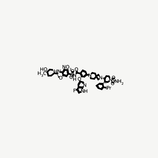 CC(C)c1ccccc1[C@H]1CN(S(N)(=O)=O)CC[C@H]1N1CC2(CCN(c3ccc(C(=O)NS(=O)(=O)c4cc5c(c([N+](=O)[O-])c4)N[C@@H]([C@H]4CC[C@](C)(O)CC4)CO5)c(Oc4cnc5[nH]cc(F)c5c4)c3)CC2)C1